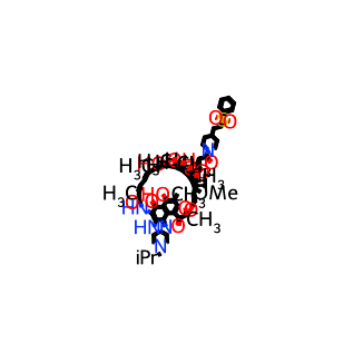 CO[C@H]1/C=C/O[C@@]2(C)Oc3c(C)c(O)c4c(c3C2=O)C2=NC3(CCN(CC(C)C)CC3)NC2=C(NC(=O)/C(C)=C\C=C\[C@H](C)[C@H](O)[C@@H](C)[C@@H](O)[C@@H](C)[C@H](OC(=O)CC(=O)N2CCC(CCS(=O)(=O)c3ccccc3)CC2)[C@@H]1C)C4=O